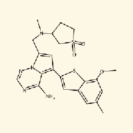 COc1cc(C)cc2cc(-c3cc(CN(C)C4CCS(=O)(=O)C4)n4ncnc(N)c34)sc12